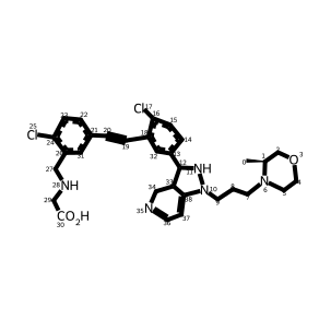 C[C@H]1COCCN1CCCN1NC(c2ccc(Cl)c(C#Cc3ccc(Cl)c(CNCC(=O)O)c3)c2)C2CN=CC=C21